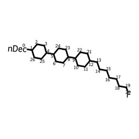 CCCCCCCCCCC1CCC(C2CCC(C3CCC(CCCCCCCF)CC3)CC2)CC1